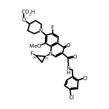 COc1c(N2CCC(OC(=O)O)CC2)c(F)cc2c(=O)c(C(=O)NCc3ccc(Cl)cc3Cl)cn([C@H]3C[C@H]3F)c12